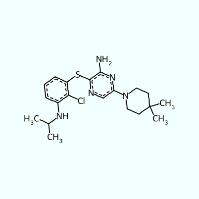 CC(C)Nc1cccc(Sc2ncc(N3CCC(C)(C)CC3)nc2N)c1Cl